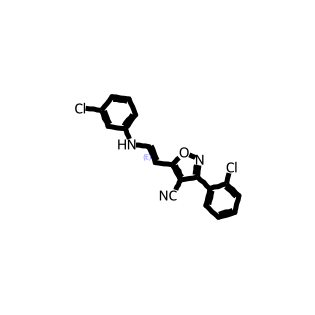 N#Cc1c(-c2ccccc2Cl)noc1/C=C/Nc1cccc(Cl)c1